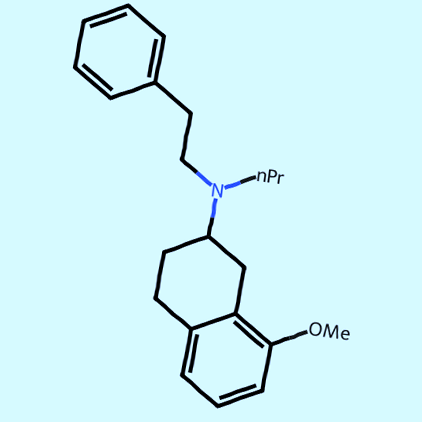 CCCN(CCc1ccccc1)C1CCc2cccc(OC)c2C1